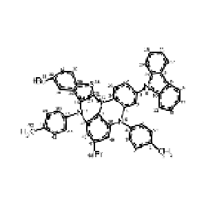 Cc1ccc(N2c3cc(-n4c5ccccc5c5ccccc54)ccc3P3(=S)c4sc5ccc(C(C)(C)C)cc5c4N(c4ccc(C)cc4)c4cc(C(C)C)cc2c43)cc1